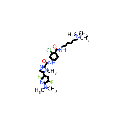 CN(C)c1nc(F)c(-c2cnc(C(=O)Nc3ccc(C(=O)NCCCCCC[N+](C)(C)C)c(Cl)c3)n2C)cc1F